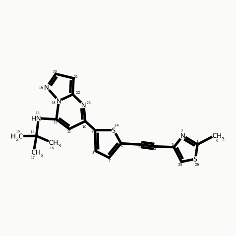 Cc1nc(C#Cc2ccc(-c3cc(NC(C)(C)C)n4nccc4n3)s2)cs1